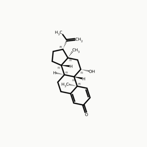 C=C(C)[C@H]1CC[C@H]2[C@@H]3CCC4=CC(=O)C=C[C@]4(C)[C@H]3[C@@H](O)C[C@]12C